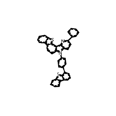 c1ccc(-c2ccc3c(n2)c2c4sc5ccccc5c4ccc2n3-c2ccc(-c3cccc4c3sc3ccccc34)cc2)cc1